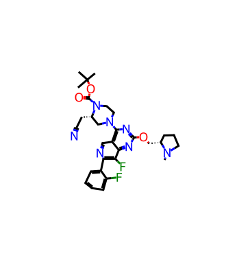 CN1CCC[C@H]1COc1nc(N2CCN(C(=O)OC(C)(C)C)[C@@H](CC#N)C2)c2cnc(-c3ccccc3F)c(F)c2n1